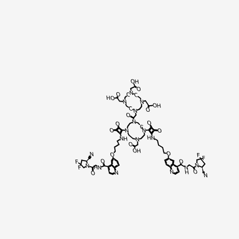 N#C[C@@H]1CC(F)(F)CN1C(=O)CNC(=O)c1ccnc2ccc(OCCCCNc3c(N4CCN(CC(=O)O)CCN(c5c(NCCCCOc6ccc7nccc(C(=O)NCC(=O)N8CC(F)(F)C[C@H]8C#N)c7c6)c(=O)c5=O)CCN(C(=O)CN5CCN(CC(=O)O)CCN(CC(=O)O)CCN(CC(=O)O)CC5)CC4)c(=O)c3=O)cc12